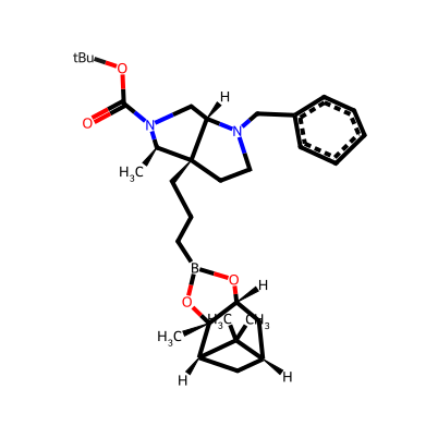 C[C@H]1N(C(=O)OC(C)(C)C)C[C@@H]2N(Cc3ccccc3)CC[C@@]21CCCB1O[C@@H]2C[C@@H]3C[C@@H](C3(C)C)[C@]2(C)O1